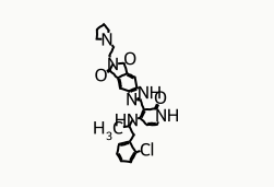 CC(Cc1ccccc1Cl)Nc1cc[nH]c(=O)c1-c1nc2cc3c(cc2[nH]1)C(=O)N(CCN1CCCC1)C3=O